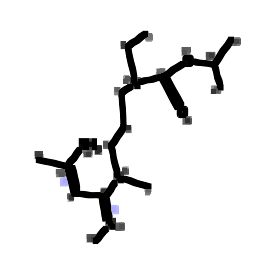 CCN(CCCN(C)C(/C=C(/C)N)=N/C)C(=O)OC(C)C